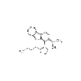 CCCCC1=C(c2c3c(ccc2=C(C)C)=c2ccccc2=[C]3)CC=C1